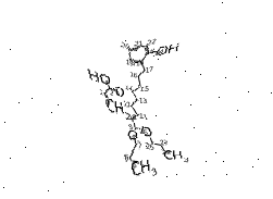 C=CC(=O)O.CCCOC(CCCCCCCCc1ccccc1O)OCCC